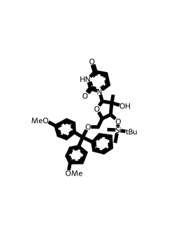 COc1ccc(C(OCC2OC(n3ccc(=O)[nH]c3=O)C(C)(O)C2O[Si](C)(C)C(C)(C)C)(c2ccccc2)c2ccc(OC)cc2)cc1